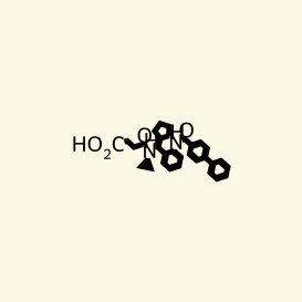 O=C(O)CCC(=O)N(C1CC1)[C@H]1c2ccccc2N(C(=O)c2ccc(-c3ccccc3)cc2)[C@@H]2CCC[C@@H]21